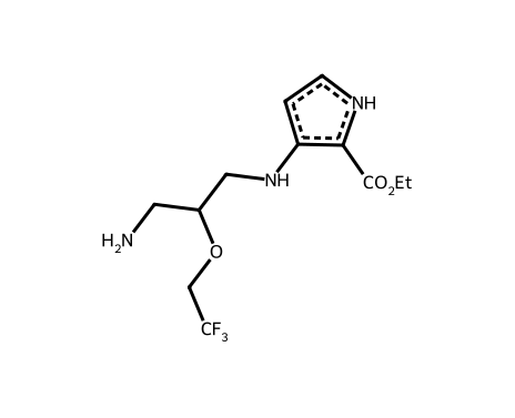 CCOC(=O)c1[nH]ccc1NCC(CN)OCC(F)(F)F